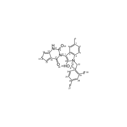 Cc1ccc2c(c1)c(-n1c(=O)[nH]c3cscc3c1=O)c(C(=O)O)n2Cc1ccc(F)cc1F